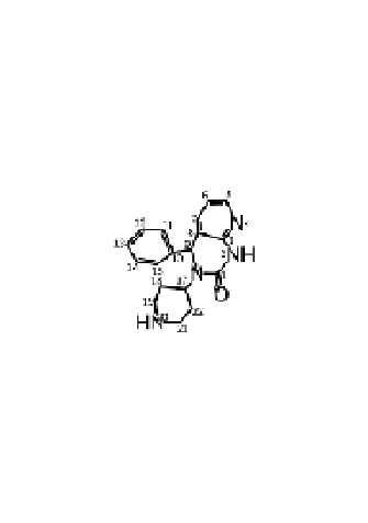 O=C1Nc2ncccc2C(c2ccccc2)N1C1CCNCC1